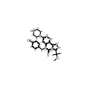 COC(C)(C)c1nnc2c3nnc(N4CCNCC4)cc3n(Cc3ccc(Cl)cc3)c(=O)n12